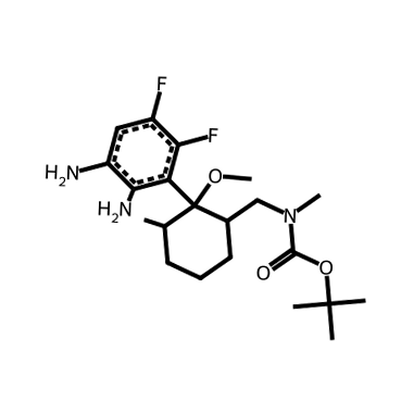 COC1(c2c(N)c(N)cc(F)c2F)C(C)CCCC1CN(C)C(=O)OC(C)(C)C